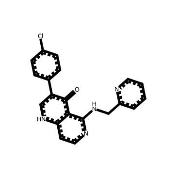 O=c1c(-c2ccc(Cl)cc2)c[nH]c2ccnc(NCc3ccccn3)c12